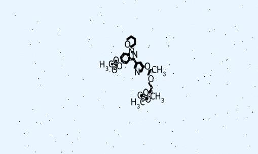 C[C@H](CCOC[C@H](C)Oc1cncc(-c2nn([C@H]3CCCCO3)c3ccc(OS(C)(=O)=O)cc23)c1)OS(C)(=O)=O